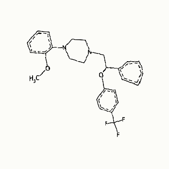 COc1ccccc1N1CCN(CC(Oc2ccc(C(F)(F)F)cc2)c2ccccc2)CC1